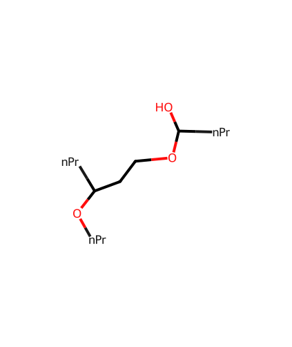 CCCOC(CCC)CCOC(O)CCC